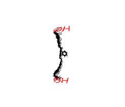 C1CCCCC1.OCCC#CC#CCCC#CC#CCCC#CC#CCCO